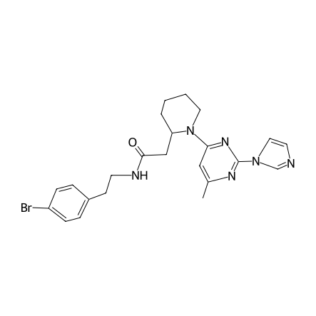 Cc1cc(N2CCCCC2CC(=O)NCCc2ccc(Br)cc2)nc(-n2ccnc2)n1